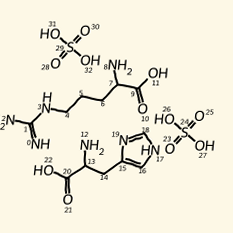 N=C(N)NCCCC(N)C(=O)O.NC(Cc1c[nH]cn1)C(=O)O.O=S(=O)(O)O.O=S(=O)(O)O